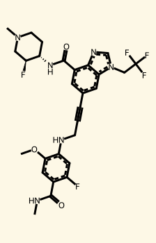 CNC(=O)c1cc(OC)c(NCC#Cc2cc(C(=O)N[C@H]3CCN(C)C[C@@H]3F)c3ncn(CC(F)(F)F)c3c2)cc1F